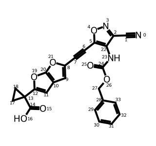 N#Cc1noc(C#Cc2cc3cc(C4(C(=O)O)CC4)oc3o2)c1NC(=O)OCc1ccccc1